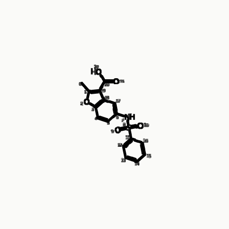 Cc1oc2ccc(NS(=O)(=O)c3ccccc3)cc2c1C(=O)O